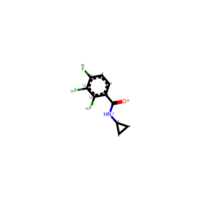 O=C(NC1CC1)c1ccc(F)c(F)c1F